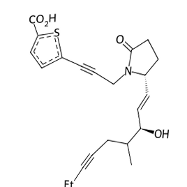 CCC#CCC(C)[C@H](O)/C=C/[C@H]1CCC(=O)N1CC#Cc1ccc(C(=O)O)s1